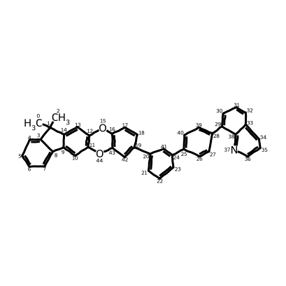 CC1(C)c2ccccc2-c2cc3c(cc21)Oc1ccc(-c2cccc(-c4ccc(-c5cccc6cccnc56)cc4)c2)cc1O3